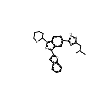 CN(C)Cc1n[nH]c(-c2ccc3c(c2)c(-c2cc4ccccc4o2)nn3C2CCCCO2)n1